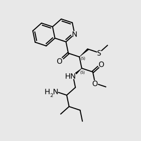 CCC(C)C(N)CN[C@H](C(=O)OC)[C@H](CSC)C(=O)c1nccc2ccccc12